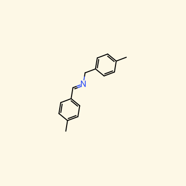 Cc1ccc(/C=N/Cc2ccc(C)cc2)cc1